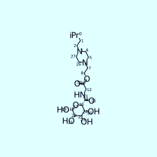 CC(C)CCN1CCN(CCOC(=O)CNC(=O)[C@H]2O[C@@H](O)[C@H](O)[C@@H](O)[C@@H]2O)CC1